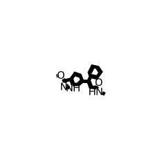 CNC(=O)C=C(c1ccccc1)c1ccc2c(OC)n[nH]c2c1